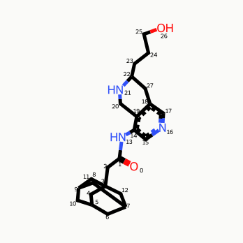 O=C(CC12CC3CC(CC(C3)C1)C2)Nc1cncc2c1CNC(CCCO)C2